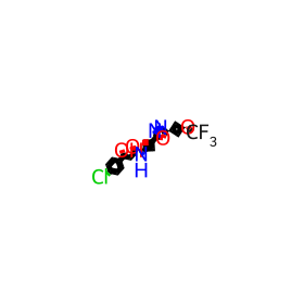 O=C(CC(O)c1ccc(Cl)cc1)NC12CC(c3nnc([C@H]4C[C@@H](OC(F)(F)F)C4)o3)(C1)C2